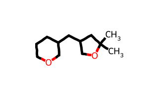 CC1(C)CC(CC2CCCOC2)CO1